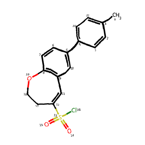 Cc1ccc(-c2ccc3c(c2)C=C(S(=O)(=O)Cl)CCO3)cc1